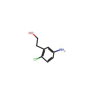 Nc1ccc(Cl)c([CH]CO)c1